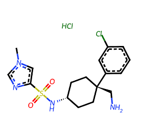 Cl.Cn1cnc(S(=O)(=O)N[C@H]2CC[C@@](CN)(c3cccc(Cl)c3)CC2)c1